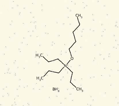 CCCCCO[N+](CCC)(CCC)CCC.[BH4-]